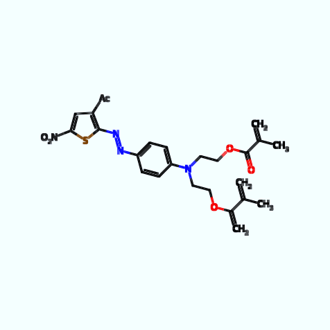 C=C(C)C(=C)OCCN(CCOC(=O)C(=C)C)c1ccc(/N=N/c2sc([N+](=O)[O-])cc2C(C)=O)cc1